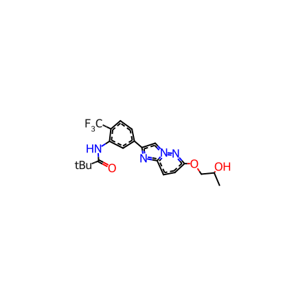 CC(O)COc1ccc2nc(-c3ccc(C(F)(F)F)c(NC(=O)C(C)(C)C)c3)cn2n1